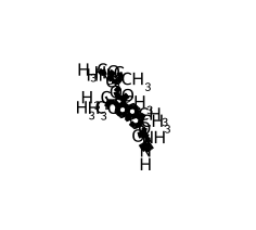 CC[C@@H](C)[C@H]1C(OC[C@H](OC(=O)NC)C(C)C)C(=O)[C@@]2(C)C3CCC4C(C)(C)[C@@H](OC(=O)NC5CNC5)CC[C@@]45C[C@@]35CC[C@]12C